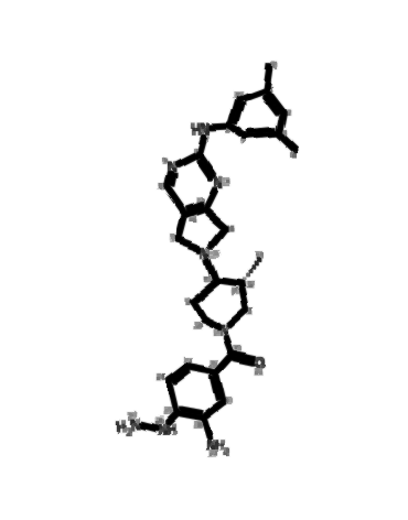 Cc1cc(C)cc(Nc2ncc3c(n2)CN(C2CCN(C(=O)c4ccc(NN)c(N)c4)C[C@H]2C)C3)c1